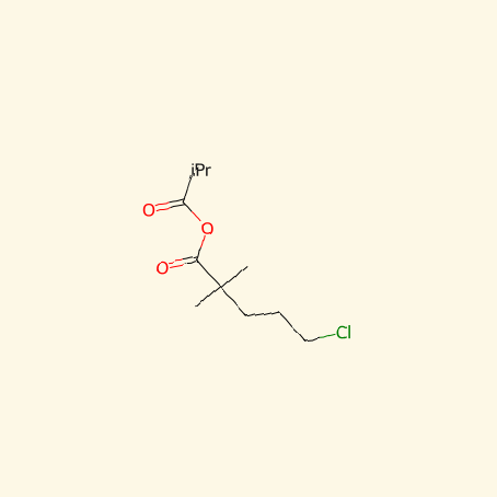 CC(C)C(=O)OC(=O)C(C)(C)CCCCl